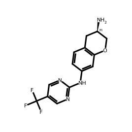 N[C@H]1COc2cc(Nc3ncc(C(F)(F)F)cn3)ccc2C1